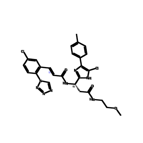 COCCNC(=O)C[C@H](NC(=O)/C=C/c1cc(Cl)ccc1-n1cnnn1)c1nc(-c2ccc(C)cc2)c(Cl)[nH]1